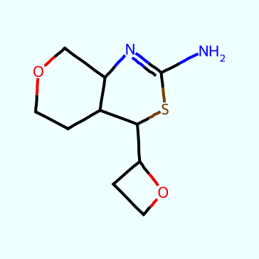 NC1=NC2COCCC2C(C2CCO2)S1